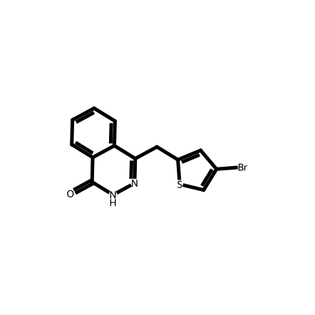 O=c1[nH]nc(Cc2cc(Br)cs2)c2ccccc12